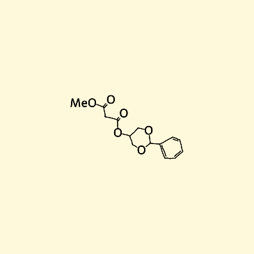 COC(=O)CC(=O)OC1COC(c2ccccc2)OC1